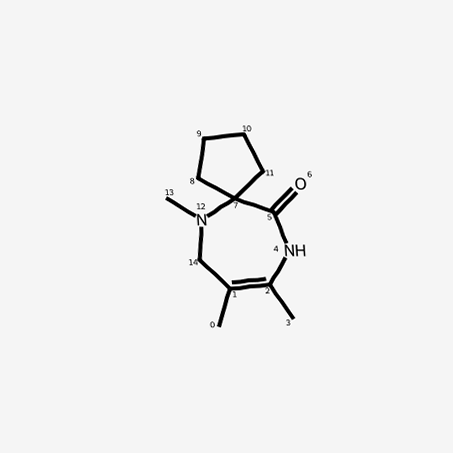 CC1=C(C)NC(=O)C2(CCCC2)N(C)C1